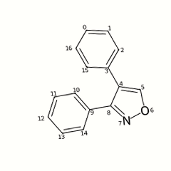 c1ccc(-c2conc2-c2ccccc2)cc1